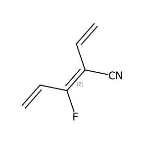 C=C/C(F)=C(/C#N)C=C